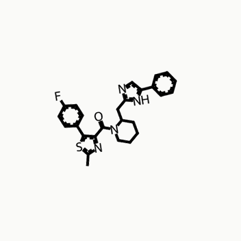 Cc1nc(C(=O)N2CCCCC2Cc2ncc(-c3ccccc3)[nH]2)c(-c2ccc(F)cc2)s1